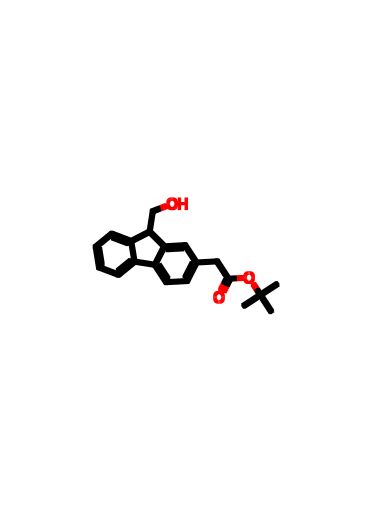 CC(C)(C)OC(=O)Cc1ccc2c(c1)C(CO)c1ccccc1-2